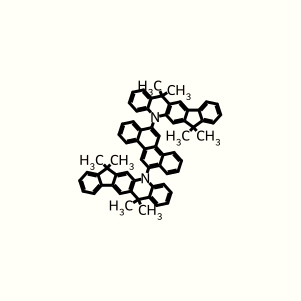 CC1(C)c2ccccc2-c2cc3c(cc21)N(c1cc2c4ccccc4c(N4c5ccccc5C(C)(C)c5cc6c(cc54)C(C)(C)c4ccccc4-6)cc2c2ccccc12)c1ccccc1C3(C)C